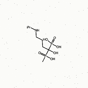 CC(C)NCCCC(O)(P(C)(=O)O)P(=O)(O)O